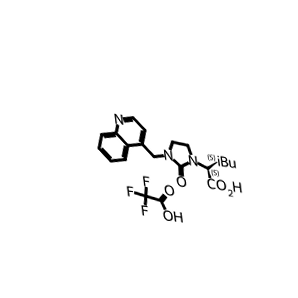 CC[C@H](C)[C@@H](C(=O)O)N1CCN(Cc2ccnc3ccccc23)C1=O.O=C(O)C(F)(F)F